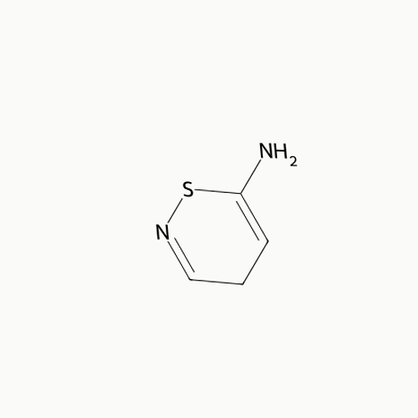 NC1=CCC=NS1